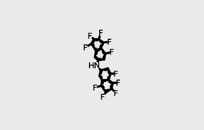 Fc1c(F)c(F)c2c(F)cc(Nc3cc(F)c4c(F)c(F)c(F)c(F)c4c3)cc2c1F